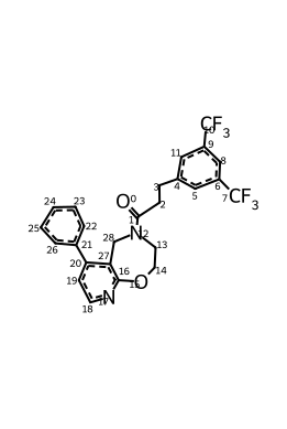 O=C(CCc1cc(C(F)(F)F)cc(C(F)(F)F)c1)N1CCOc2nccc(-c3ccccc3)c2C1